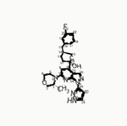 C[C@@H]1COCCN1c1cc(C2(O)CCC(Cc3cccc(F)c3)CC2)c2cnn(-c3cc[nH]n3)c2n1